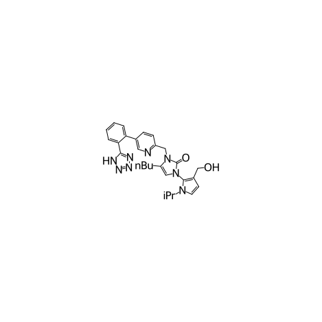 CCCCc1cn(-c2c(CO)ccn2C(C)C)c(=O)n1Cc1ccc(-c2ccccc2-c2nnn[nH]2)cn1